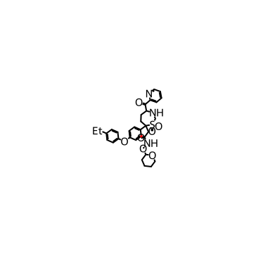 CCc1ccc(Oc2ccc(C3(CC(=O)NOC4CCCCO4)CCC(C(=O)c4ccccn4)NCS3(=O)=O)cc2)cc1